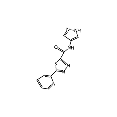 O=C(Nc1cn[nH]c1)c1nnc(-c2ccccn2)s1